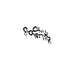 Nc1cc(-c2cc(-n3ccccc3=O)ccc2-n2cc(CNC(=O)c3ccc(Cl)s3)nn2)ccn1